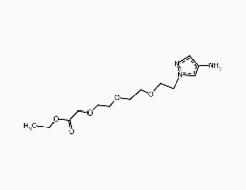 CCOC(=O)COCCOCCOCCn1cc(N)cn1